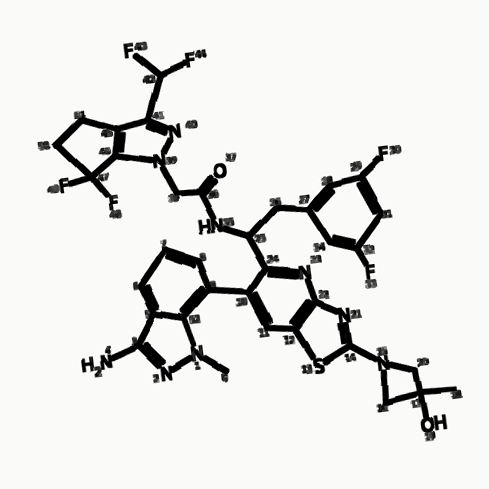 Cn1nc(N)c2cccc(-c3cc4sc(N5CC(C)(O)C5)nc4nc3C(Cc3cc(F)cc(F)c3)NC(=O)Cn3nc(C(F)F)c4c3C(F)(F)CC4)c21